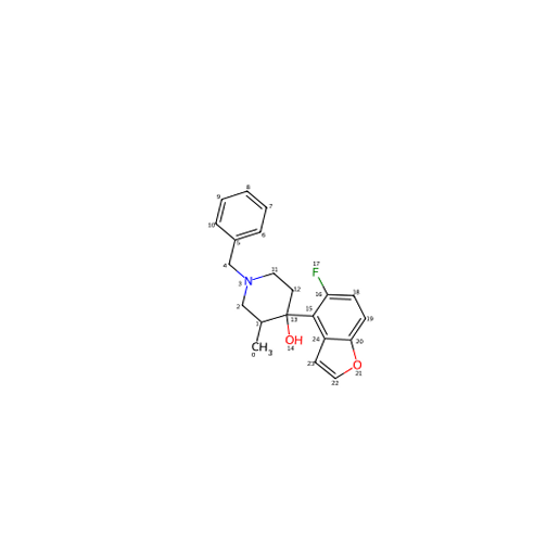 CC1CN(Cc2ccccc2)CCC1(O)c1c(F)ccc2occc12